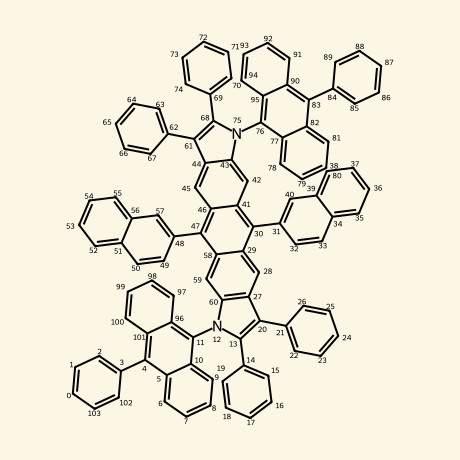 c1ccc(-c2c3ccccc3c(-n3c(-c4ccccc4)c(-c4ccccc4)c4cc5c(-c6ccc7ccccc7c6)c6cc7c(cc6c(-c6ccc8ccccc8c6)c5cc43)c(-c3ccccc3)c(-c3ccccc3)n7-c3c4ccccc4c(-c4ccccc4)c4ccccc34)c3ccccc23)cc1